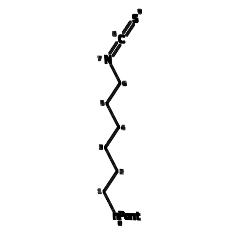 CCCCCCCCCCCN=C=S